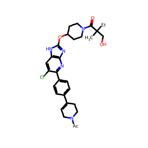 CCC(C)(CO)C(=O)N1CCC(Oc2nc3nc(-c4ccc(C5=CCN(C(C)=O)CC5)cc4)c(Cl)cc3[nH]2)CC1